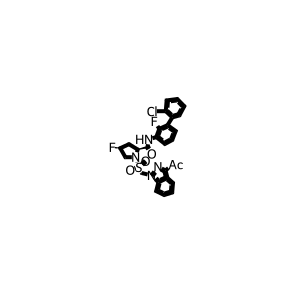 CC(=O)c1nn(CS(=O)(=O)N2C[C@H](F)C[C@H]2C(=O)Nc2cccc(-c3ccccc3Cl)c2F)c2ccccc12